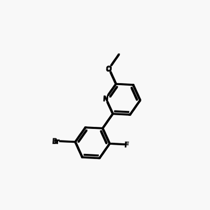 COc1cccc(-c2cc(Br)ccc2F)n1